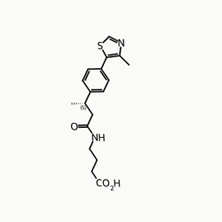 Cc1ncsc1-c1ccc([C@@H](C)CC(=O)NCCCC(=O)O)cc1